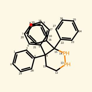 c1ccc(C2(c3ccccc3)CCPPC2(c2ccccc2)c2ccccc2)cc1